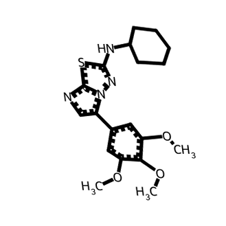 COc1cc(-c2cnc3sc(NC4CCCCC4)nn23)cc(OC)c1OC